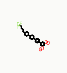 COOc1cc(OOC)cc(-c2ccc(C3CCC(C4CCC(CCCCC(F)(F)F)CC4)CC3)cc2)c1